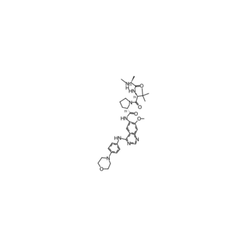 CN[C@@H](C)C(=O)N[C@H](C(=O)N1CCC[C@H]1C(=O)Nc1cc2c(Nc3ccc(N4CCOCC4)cc3)ncnc2cc1OC)C(C)(C)C